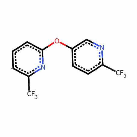 FC(F)(F)c1[c]ccc(Oc2ccc(C(F)(F)F)nc2)n1